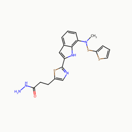 CN(Sc1cccs1)c1cccc2cc(-c3ncc(CCC(=O)NN)s3)[nH]c12